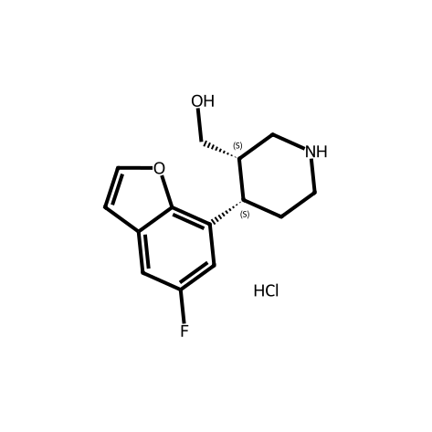 Cl.OC[C@@H]1CNCC[C@@H]1c1cc(F)cc2ccoc12